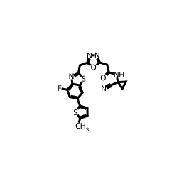 Cc1ccc(-c2cc(F)c3nc(Cc4nnc(CC(=O)NC5(C#N)CC5)o4)sc3c2)s1